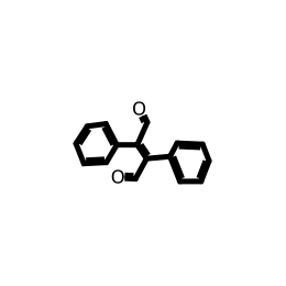 O=CC(=C(C=O)c1ccccc1)c1ccccc1